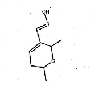 CC1CC=C(C=NO)C(C)O1